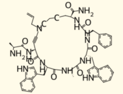 C=CCN1C#C[C@H](NC(=O)[C@H](C)N)C(=O)N[C@H](Cc2c[nH]c3ccccc23)C(=O)N[C@@H](C)C(=O)N[C@@H](Cc2c[nH]c3ccccc23)C(=O)N[C@H](Cc2ccccc2)C(=O)N[C@H](C(N)=O)CCCC1